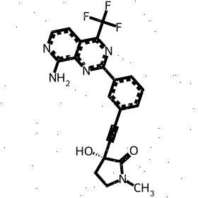 CN1CC[C@@](O)(C#Cc2cccc(-c3nc(C(F)(F)F)c4ccnc(N)c4n3)c2)C1=O